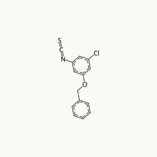 S=C=Nc1cc(Cl)cc(OCc2ccccc2)c1